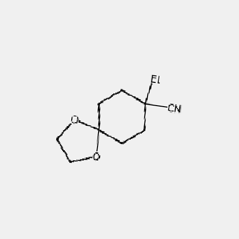 CCC1(C#N)CCC2(CC1)OCCO2